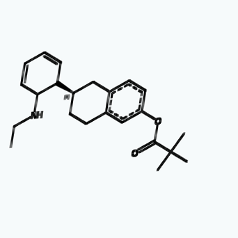 CCNC1C=CC=CC1[C@@H]1CCc2cc(OC(=O)C(C)(C)C)ccc2C1